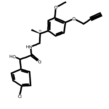 C#CCOc1ccc([C@H](C)CNC(=O)C(O)c2ccc(Cl)cc2)cc1OC